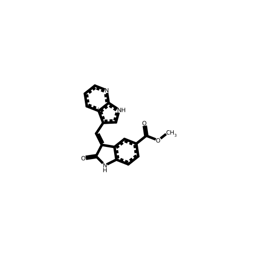 COC(=O)c1ccc2c(c1)/C(=C\c1c[nH]c3ncccc13)C(=O)N2